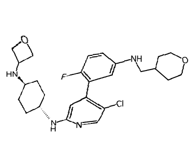 Fc1ccc(NCC2CCOCC2)cc1-c1cc(N[C@H]2CC[C@H](NC3COC3)CC2)ncc1Cl